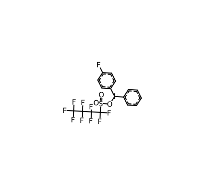 O=S(=O)(O[I+](c1ccccc1)c1ccc(F)cc1)C(F)(F)C(F)(F)C(F)(F)C(F)(F)F